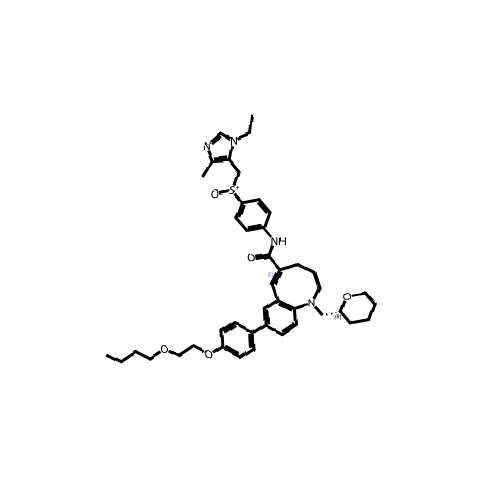 CCCCOCCOc1ccc(-c2ccc3c(c2)/C=C(/C(=O)Nc2ccc([S+]([O-])Cc4c(C)ncn4CC)cc2)CCCN3C[C@H]2CCCCO2)cc1